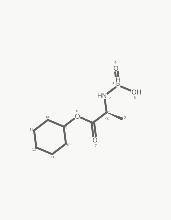 C[C@H](N[PH](=O)O)C(=O)OC1CCCCC1